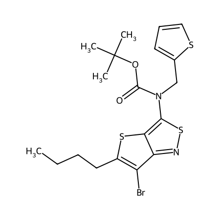 CCCCc1sc2c(N(Cc3cccs3)C(=O)OC(C)(C)C)snc2c1Br